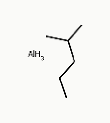 CCCC(C)C.[AlH3]